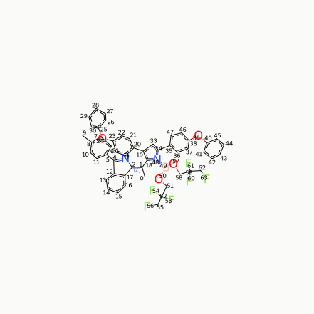 C/C(=C1/N=C(c2ccc(C)cc2)c2ccccc21)c1c(-c2ccc(Oc3ccccc3)cc2)cc(-c2ccc(Oc3ccccc3)cc2)n1B(OCC(F)(F)CF)OCC(F)(F)CF